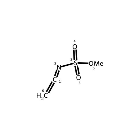 C=C=NS(=O)(=O)OC